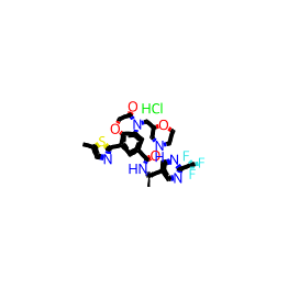 Cc1cnc(-c2cc(C(=O)N[C@H](C)c3cnc(C(F)(F)F)nc3)cc3c2OCC(=O)N3CC2CNCCO2)s1.Cl